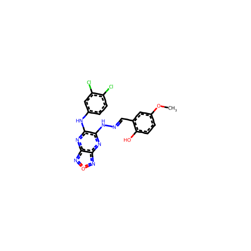 COc1ccc(O)c(/C=N/Nc2nc3nonc3nc2Nc2ccc(Cl)c(Cl)c2)c1